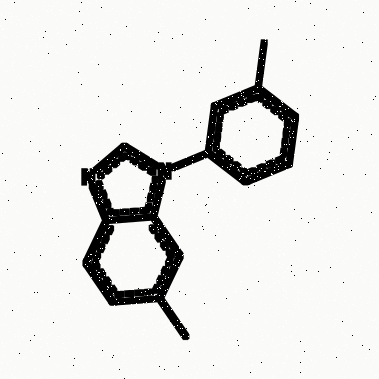 Cc1cccc(-n2cnc3ccc(C)cc32)c1